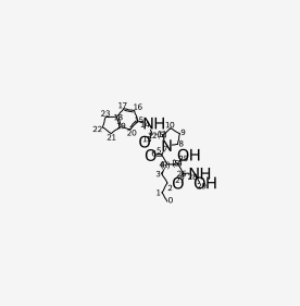 CCCC[C@@H](C(=O)N1CCC[C@H]1C(=O)Nc1ccc2c(c1)CCC2)[C@H](O)C(=O)NO